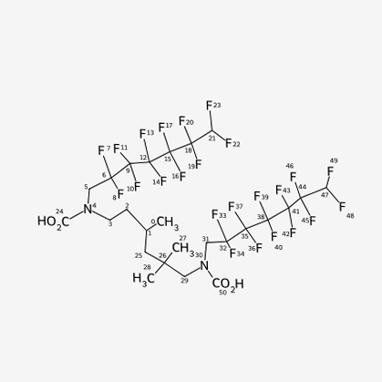 CC(CCN(CC(F)(F)C(F)(F)C(F)(F)C(F)(F)C(F)(F)C(F)F)C(=O)O)CC(C)(C)CN(CC(F)(F)C(F)(F)C(F)(F)C(F)(F)C(F)(F)C(F)F)C(=O)O